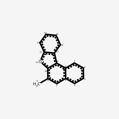 Cc1cc2ccccc2c2c1oc1ccccc12